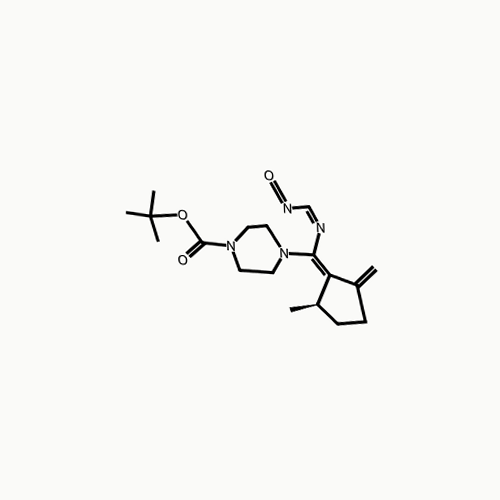 C=C1CC[C@@H](C)/C1=C(/N=C\N=O)N1CCN(C(=O)OC(C)(C)C)CC1